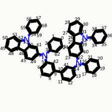 c1ccc(N(c2cccc(-c3cccc(N(c4ccccc4)c4ccc5c6ccccc6n(-c6ccccc6)c5c4)c3)c2)c2ccc3c4ccccc4n(-c4ccccc4)c3c2)cc1